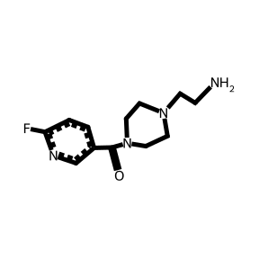 NCCN1CCN(C(=O)c2ccc(F)nc2)CC1